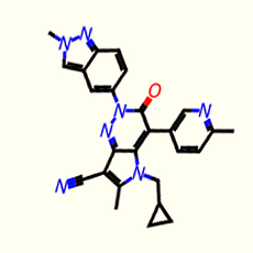 Cc1ccc(-c2c(=O)n(-c3ccc4nn(C)cc4c3)nc3c(C#N)c(C)n(CC4CC4)c23)cn1